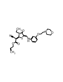 C=CCOC(=O)C(C#N)=c1sc(=CNc2cccc(OCCN3CCOCC3)c2)c(=O)n1CC